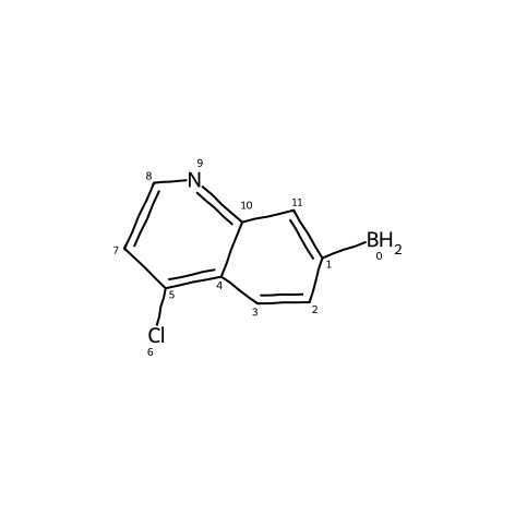 Bc1ccc2c(Cl)ccnc2c1